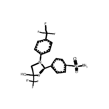 NS(=O)(=O)c1ccc(C2=NC(O)(C(F)(F)F)CN2c2ccc(C(F)(F)F)cc2)cc1